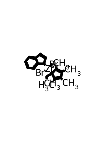 CC[C]1([Zr]([Br])([Br])[CH]2C=Cc3ccccc32)C(C)=C(C)C(C)=C1C